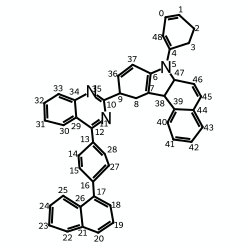 C1=CCCC(N2C3=C(CC(c4nc(-c5ccc(-c6cccc7ccccc67)cc5)c5ccccc5n4)C=C3)C3c4ccccc4C=CC32)=C1